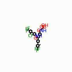 Cc1cc(C(F)(F)F)ccc1-c1ccc(C(Cc2ccc(C(=O)NCCS(=O)(=O)O)cc2)C(=O)Nc2ccc(-c3ccc(C(F)(F)F)cc3C)c(Cl)c2)cc1